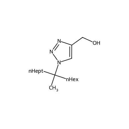 CCCCCCCC(C)(CCCCCC)n1cc(CO)nn1